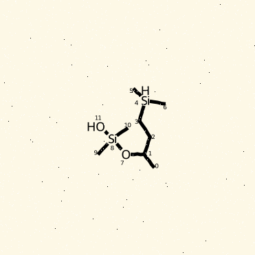 CC(CC[SiH](C)C)O[Si](C)(C)O